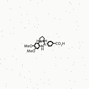 COc1cc2c(cc1OC)[C@@H]1CCC[C@@H]1[C@H](c1ccc(C(=O)O)cc1)N2